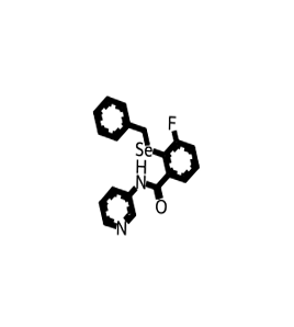 O=C(Nc1cccnc1)c1cccc(F)c1[Se]Cc1ccccc1